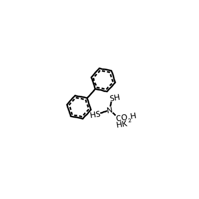 O=C(O)N(S)S.[KH].c1ccc(-c2ccccc2)cc1